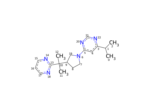 CC(C)c1cc(N2CCC(C(C)(C)c3ncccn3)C2)ncn1